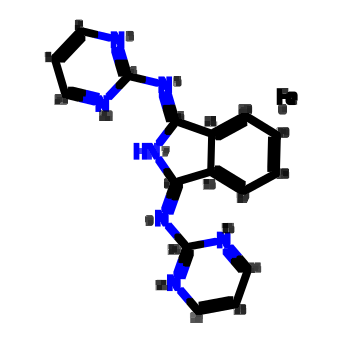 [Fe].c1cnc(/N=C2\N/C(=N/c3ncccn3)c3ccccc32)nc1